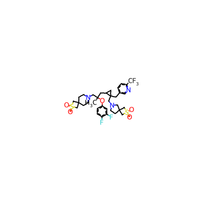 CC(CC1CC1(Cc1ccc(C(F)(F)F)nc1)CN1CCC2(C1)CS(=O)(=O)C2)(CN1CCC2(CC1)CS(=O)(=O)C2)Oc1ccc(F)c(F)c1